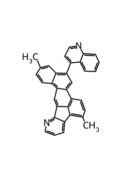 Cc1ccc2c(c1)c(-c1ccnc3ccccc13)cc1c3ccc(C)c4c3c(cc21)-c1ncccc1-4